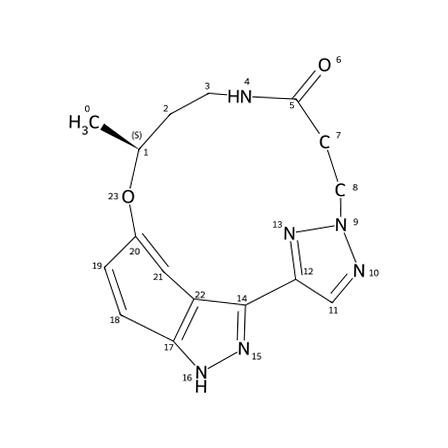 C[C@H]1CCNC(=O)CCn2ncc(n2)-c2n[nH]c3ccc(cc23)O1